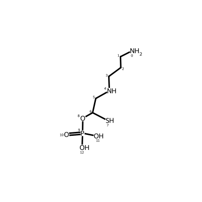 NCCCNCC(S)OP(=O)(O)O